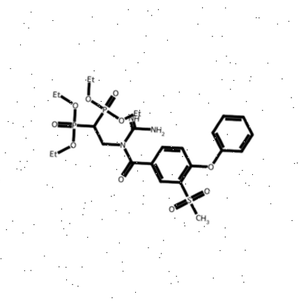 CCOP(=O)(OCC)C(CN(C(=N)N)C(=O)c1ccc(Oc2ccccc2)c(S(C)(=O)=O)c1)P(=O)(OCC)OCC